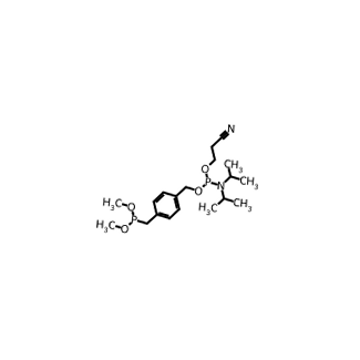 COP(Cc1ccc(COP(OCCC#N)N(C(C)C)C(C)C)cc1)OC